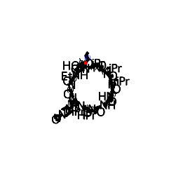 C/C=C/C[C@@H](C)[C@@H](O)[C@H]1C(=O)N[C@@H](CC)C(=O)N(C)[C@H](C)C(=O)N(C)[C@@H]([C@H](C)CN2CCN(C3COC3)CC2)C(=O)N[C@@H](C(C)C)C(=O)N(C)[C@@H](CC(C)C)C(=O)N[C@@H](C)C(=O)N[C@H](C)C(=O)N(C)[C@@H](CC(C)C)C(=O)N(C)[C@@H](CC(C)C)C(=O)N(C)[C@@H](C(C)C)C(=O)N1C